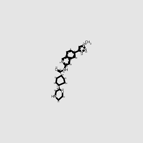 Cn1cc(-c2ccc3cnc(NC(=O)[C@H]4CC[C@H](C5CNCCO5)CC4)cc3c2)nn1